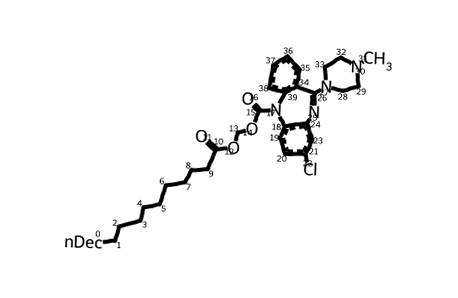 CCCCCCCCCCCCCCCCCCCC(=O)OCOC(=O)N1c2ccc(Cl)cc2N=C(N2CCN(C)CC2)c2ccccc21